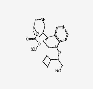 CC(C)(C)OC(=O)N1C2CCC1(C1=NCN(OC(CO)C3CCC3)c3ccncc31)CNC2